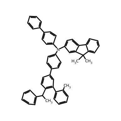 Cc1ccccc1-c1cc(-c2ccc(N(c3ccc(-c4ccccc4)cc3)c3ccc4c(c3)C(C)(C)c3ccccc3-4)cc2)ccc1C(C)c1ccccc1